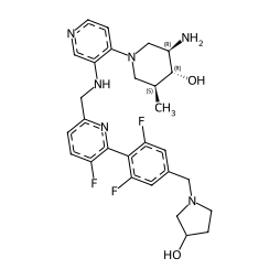 C[C@H]1CN(c2ccncc2NCc2ccc(F)c(-c3c(F)cc(CN4CCC(O)C4)cc3F)n2)C[C@@H](N)[C@@H]1O